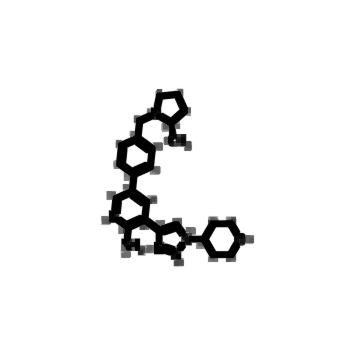 C[C@@H]1CCCN1Cc1ccc(-c2cnc(N)c(-c3cn(C4CCOCC4)nn3)c2)cc1